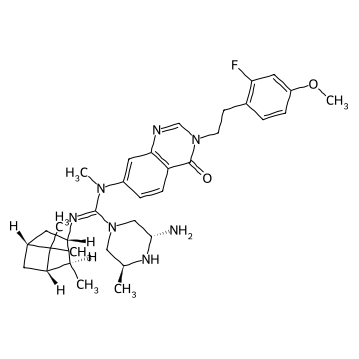 COc1ccc(CCn2cnc3cc(N(C)/C(=N/[C@H]4C[C@H]5C[C@@H]([C@@H]4C)C5(C)C)N4C[C@H](C)N[C@@H](N)C4)ccc3c2=O)c(F)c1